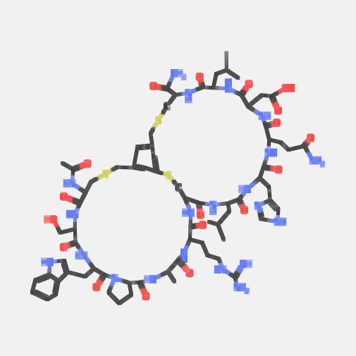 CC(=O)NC1CSCc2cc3cc(c2)SCC(NC(=O)C(CCCNC(=N)N)NC(=O)C(C)NC(=O)C2CCCN2C(=O)C(Cc2c[nH]c4ccccc24)NC(=O)C(CO)NC1=O)C(=O)NC(CC(C)C)C(=O)NC(Cc1c[nH]cn1)C(=O)NC(CCC(N)=O)C(=O)NC(CC(=O)O)C(=O)NC(CC(C)C)C(=O)NC(C(N)=O)CSC3